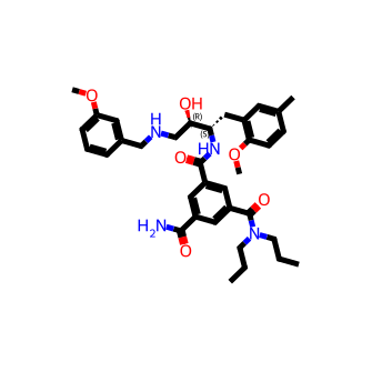 CCCN(CCC)C(=O)c1cc(C(N)=O)cc(C(=O)N[C@@H](Cc2cc(C)ccc2OC)[C@H](O)CNCc2cccc(OC)c2)c1